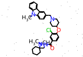 CN(C)C1(CNC(=O)c2ccc(OC3CCN(Cc4ccc5c(c4)c4ccccc4n5C)CC3)c(Cl)c2)CCCCC1